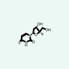 O=c1[nH]c(=S)ccn1[C@H]1C[C@H](O)[C@@](F)(CO)O1